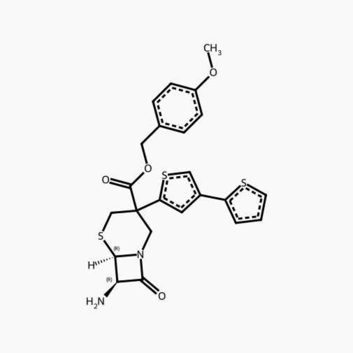 COc1ccc(COC(=O)C2(c3cc(-c4cccs4)cs3)CS[C@@H]3[C@H](N)C(=O)N3C2)cc1